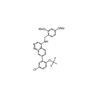 COc1ccc(CNc2cnnc3cc(-c4cc(Cl)ccc4OC(C)(F)F)ccc23)c(OC)c1